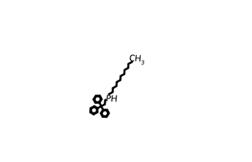 CCCCCCCCCCCCCPCCC(c1ccccc1)(c1ccccc1)c1ccccc1